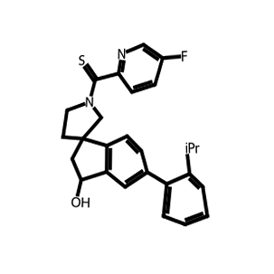 CC(C)c1ccccc1-c1ccc2c(c1)C(O)CC21CCN(C(=S)c2ccc(F)cn2)C1